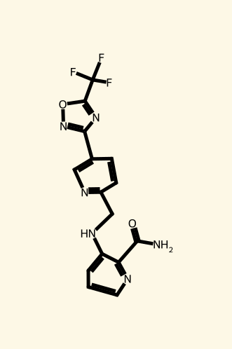 NC(=O)c1ncccc1NCc1ccc(-c2noc(C(F)(F)F)n2)cn1